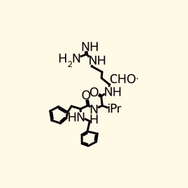 CC(C)C(NC(=O)C(Cc1ccccc1)NCc1ccccc1)C(=O)NC([C]=O)CCCNC(=N)N